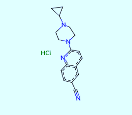 Cl.N#Cc1ccc2nc(N3CCN(C4CC4)CC3)ccc2c1